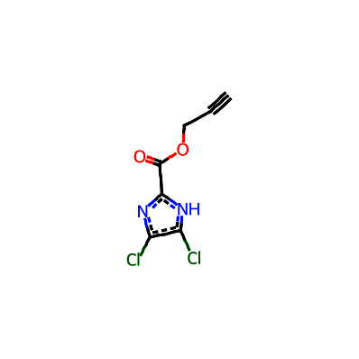 C#CCOC(=O)c1nc(Cl)c(Cl)[nH]1